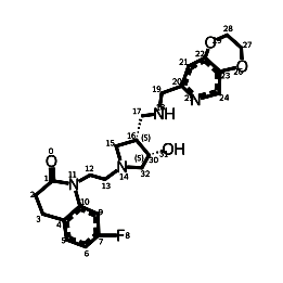 O=C1CCc2ccc(F)cc2N1CCN1C[C@H](CNCc2cc3c(cn2)OCCO3)[C@H](O)C1